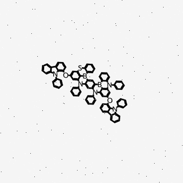 c1ccc(N2c3cc4c(cc3B3c5ccccc5Sc5cc(Oc6cccc7c8ccccc8n(-c8ccccc8)c67)cc2c53)B2c3ccccc3N(c3ccccc3)c3cc(Oc5cccc6c7ccccc7n(-c7ccccc7)c56)cc(c32)N4c2ccccc2)cc1